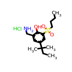 CCCCS(=O)(=O)c1cc(C(C)(C)CC)cc(CN)c1O.Cl